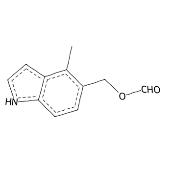 Cc1c(COC=O)ccc2[nH]ccc12